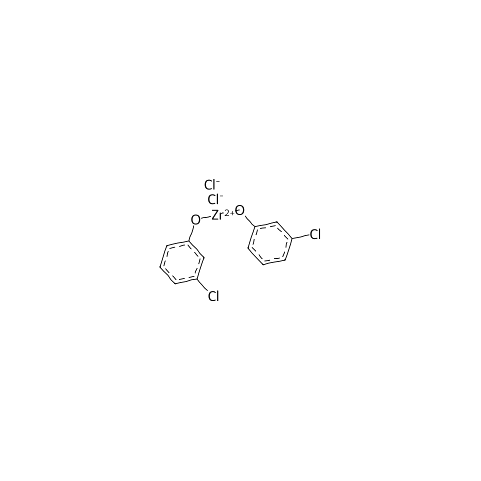 Clc1cccc([O][Zr+2][O]c2cccc(Cl)c2)c1.[Cl-].[Cl-]